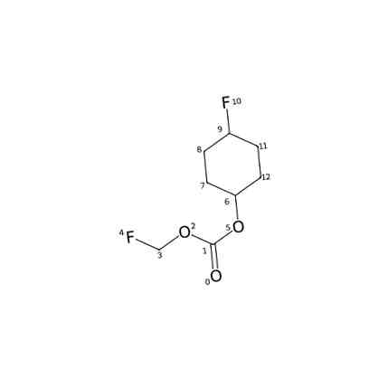 O=C(OCF)OC1CCC(F)CC1